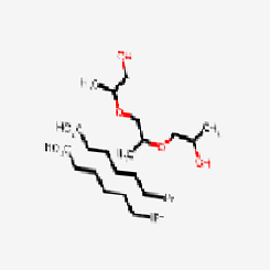 CC(C)CCCCCC(=O)O.CC(C)CCCCCC(=O)O.CC(O)COC(C)COC(C)CO